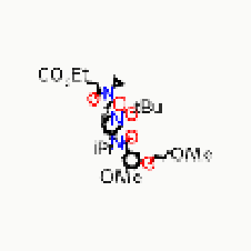 CCOC(=O)CCC(=O)N(CC[C@H]1CC[C@@H](N(C(=O)c2ccc(OC)c(OCCCOC)c2)C(C)C)CN1C(=O)OC(C)(C)C)C1CC1